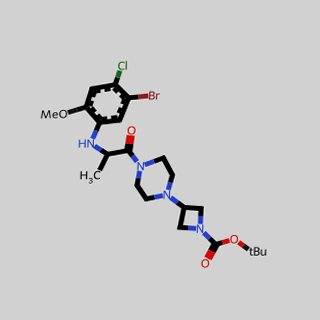 COc1cc(Cl)c(Br)cc1NC(C)C(=O)N1CCN(C2CN(C(=O)OC(C)(C)C)C2)CC1